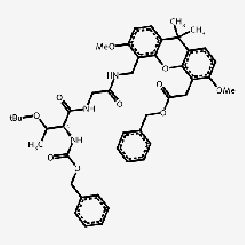 COc1ccc2c(c1CNC(=O)CNC(=O)[C@@H](NC(=O)OCc1ccccc1)C(C)OC(C)(C)C)Oc1c(ccc(OC)c1CC(=O)OCc1ccccc1)C2(C)C